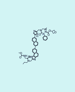 CCCN(Cc1nc2ccc3cc(-c4ccc5cc(-c6cnc(CN(CCC)C(=O)[C@H](NC(=O)OC7COC7)c7ccccc7)[nH]6)ccc5c4)ccc3c2[nH]1)C(=O)CNC(=O)OC